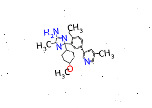 CCc1ccc(-c2cncc(C)c2)cc1C1(C2CCC(OC)CC2)N=C(C)C(N)=N1